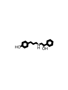 Oc1ccc(CCCNC[C@H](O)c2ccccc2)cc1